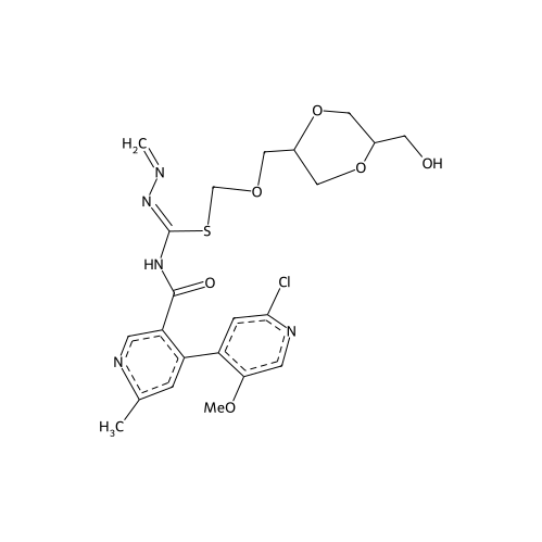 C=N/N=C(/NC(=O)c1cnc(C)cc1-c1cc(Cl)ncc1OC)SCOCC1COC(CO)CO1